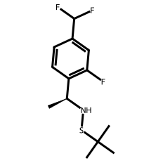 C[C@H](NSC(C)(C)C)c1ccc(C(F)F)cc1F